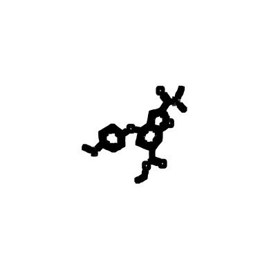 CCOC(=O)c1cc(Oc2ccc(SC)cc2)c2cc(C(=O)N(C)C)oc2c1